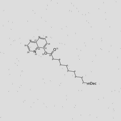 CCCCCCCCCCCCCCCCCCCC(=O)Oc1cccc2cccnc12